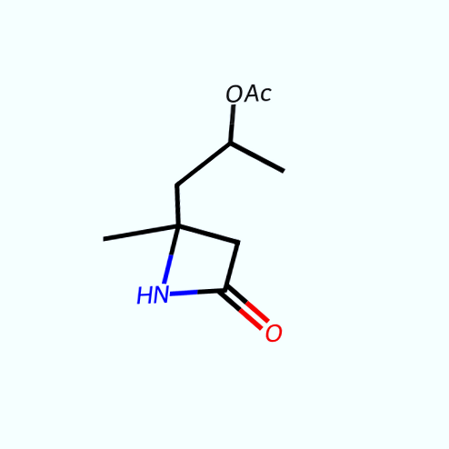 CC(=O)OC(C)CC1(C)CC(=O)N1